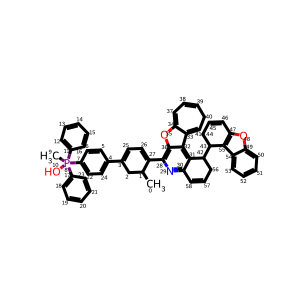 CC1CC(c2ccc(P(C)(O)(c3ccccc3)c3ccccc3)cc2)=CC=C1c1nc2c(c3c4c(oc13)=CC=CCC=4)C(C1CC=Cc3oc4ccccc4c31)CC=C2